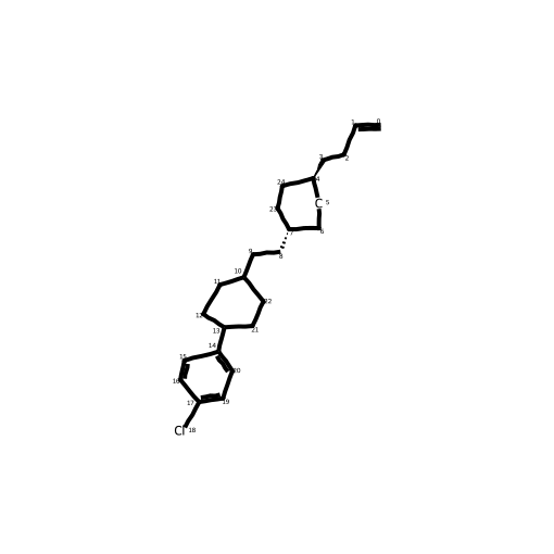 C=CCC[C@H]1CC[C@H](CCC2CCC(c3ccc(Cl)cc3)CC2)CC1